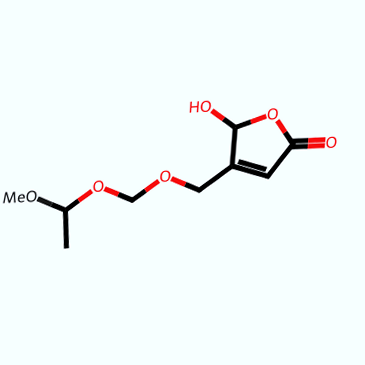 COC(C)OCOCC1=CC(=O)OC1O